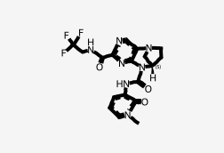 Cn1cccc(NC(=O)N2c3nc(C(=O)NCC(F)(F)F)ncc3N3CC[C@H]2C3)c1=O